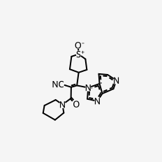 N#CC(C(=O)N1CCCCC1)=C(C1CC[S+]([O-])CC1)n1cnc2cnccc21